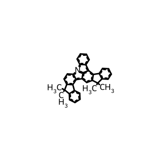 CC1(C)c2ccccc2-c2c1ccc1c2c2cc3c(c4c5ccccc5n1c24)-c1ccccc1C3(C)C